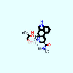 CCCC(O)CO.CCN(CC)C(=O)[C@@H]1C=C2c3cccc4[nH]cc(c34)C[C@H]2N(C)C1